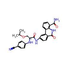 CC(C)OC[C@H](Nc1ccc(C#N)cc1)C(=O)Nc1ccc2c(=O)[nH]c3c(C(N)=O)cccc3c2c1